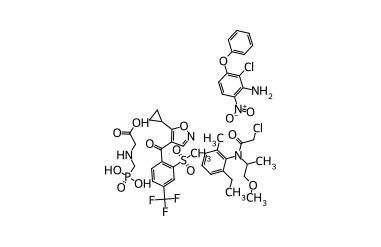 CCc1cccc(C)c1N(C(=O)CCl)C(C)COC.CS(=O)(=O)c1cc(C(F)(F)F)ccc1C(=O)c1cnoc1C1CC1.Nc1c([N+](=O)[O-])ccc(Oc2ccccc2)c1Cl.O=C(O)CNCP(=O)(O)O